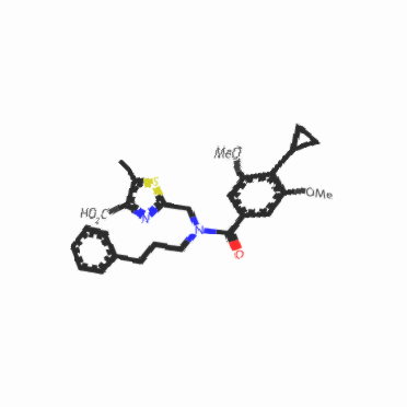 COc1cc(C(=O)N(CCCc2ccccc2)Cc2nc(C(=O)O)c(C)s2)cc(OC)c1C1CC1